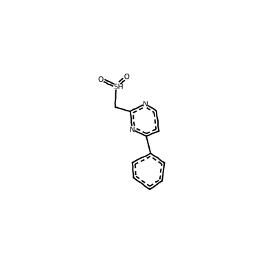 O=[SH](=O)Cc1nccc(-c2ccccc2)n1